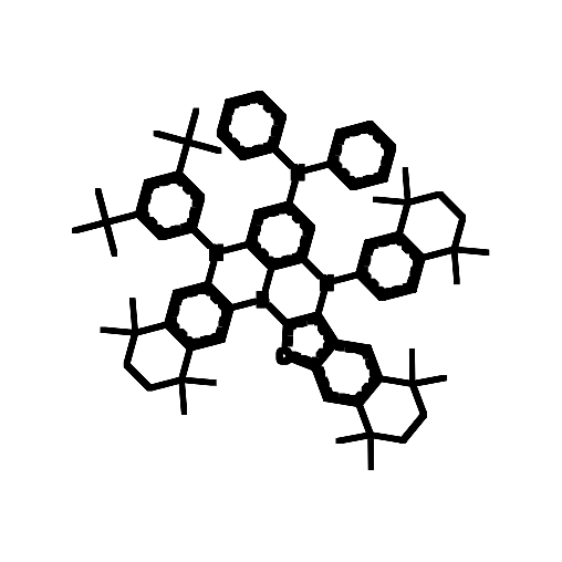 CC(C)(C)c1cc(N2c3cc4c(cc3B3c5oc6cc7c(cc6c5N(c5ccc6c(c5)C(C)(C)CCC6(C)C)c5cc(N(c6ccccc6)c6ccccc6)cc2c53)C(C)(C)CCC7(C)C)C(C)(C)CCC4(C)C)cc(C(C)(C)C)c1